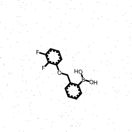 OB(O)c1ccccc1COc1cccc(F)c1F